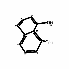 [2H]c1cccc2cccc(O)c12